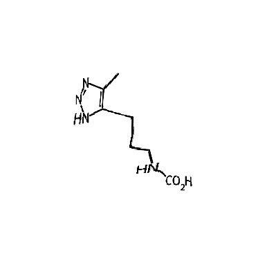 Cc1nn[nH]c1CCCNC(=O)O